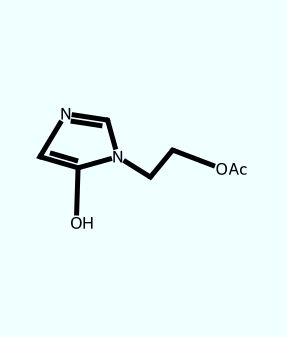 CC(=O)OCCn1cncc1O